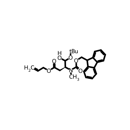 C=CCOC(=O)C[C@@H](C(O)OC(C)(C)C)N(C)C(=O)OCC1c2ccccc2-c2ccccc21